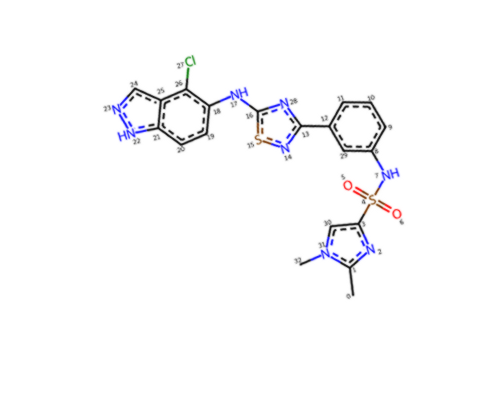 Cc1nc(S(=O)(=O)Nc2cccc(-c3nsc(Nc4ccc5[nH]ncc5c4Cl)n3)c2)cn1C